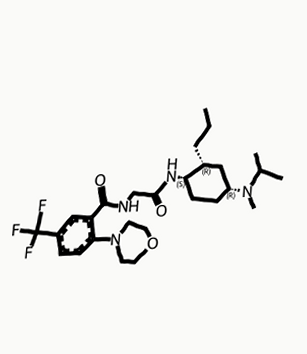 CCC[C@@H]1C[C@H](N(C)C(C)C)CC[C@@H]1NC(=O)CNC(=O)c1cc(C(F)(F)F)ccc1N1CCOCC1